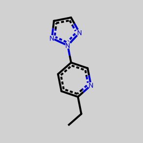 CCc1ccc(-n2nccn2)cn1